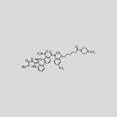 COc1c(-c2cccc3[nH]c(NC(=O)OC(C)(C)C)nc23)ccc(C(=O)N(C)c2ccc(C)cc2OCCCCCC(=O)N2CCN(C)CC2)c1C(N)=O